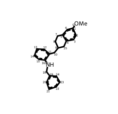 COc1ccc2c(c1)CCC(Cc1ccccc1NCc1ccccc1)C2